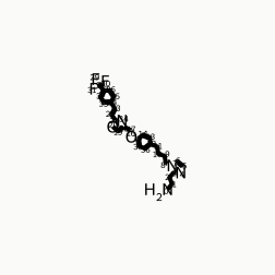 NCCc1nccn1CCCCc1ccc(OCc2coc(C=Cc3ccc(C(F)(F)F)cc3)n2)cc1